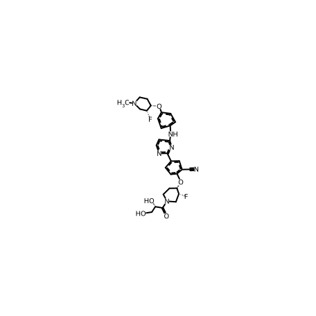 CN1CC[C@H](Oc2ccc(Nc3ccnc(-c4ccc(O[C@H]5CCN(C(=O)[C@@H](O)CO)C[C@H]5F)c(C#N)c4)n3)cc2)[C@H](F)C1